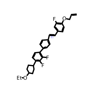 C=CCOc1ccc(/C=C/c2ccc(-c3ccc(C4CCC(OCC)CC4)c(F)c3F)cc2)cc1F